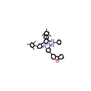 Cc1cc(C)c(-c2ccc3c(c2)c2cc(-c4c(C)cc(C)cc4C)ccc2n3-c2ccc(-c3ccc4oc5ccccc5c4c3)cc2-c2nc(-c3ccccc3)nc(-c3ccccc3)n2)c(C)c1